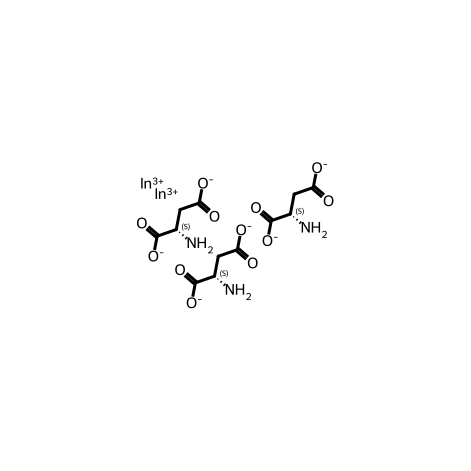 N[C@@H](CC(=O)[O-])C(=O)[O-].N[C@@H](CC(=O)[O-])C(=O)[O-].N[C@@H](CC(=O)[O-])C(=O)[O-].[In+3].[In+3]